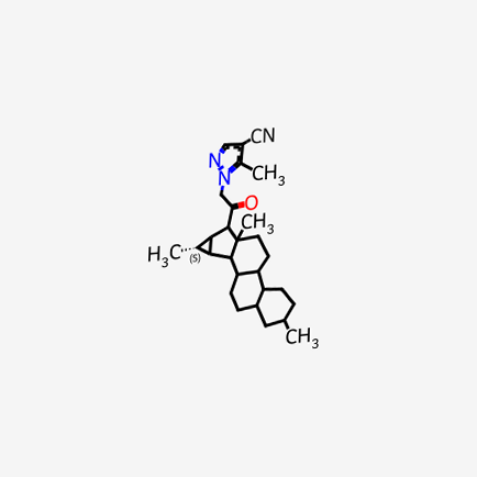 Cc1c(C#N)cnn1CC(=O)C1C2C(C3C4CCC5CC(C)CCC5C4CCC13C)[C@@H]2C